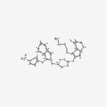 CCOCCn1c(CN2CCN(Cc3nc4cccnc4n3Cc3ccc(C)o3)CC2)nc2cccnc21